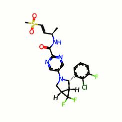 C[C@H](/C=C/S(C)(=O)=O)NC(=O)c1ncc(N2C[C@@H]3[C@H]([C@H]2c2cccc(F)c2Cl)C3(F)F)cn1